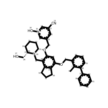 Cc1c(COc2cc(OCc3cc(C#N)c[n+](O)c3)c(CN3CCCC[C@H]3CO)c3c2CCC3)cccc1-c1ccccc1